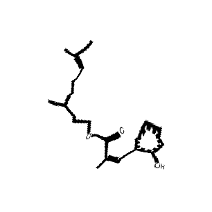 CC(C)=CCCC(C)CCOC(=O)C(C)=Cc1ccccc1O